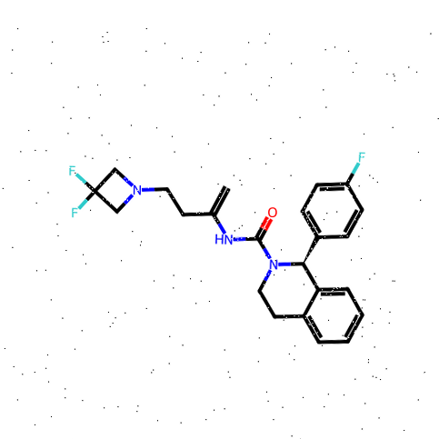 C=C(CCN1CC(F)(F)C1)NC(=O)N1CCc2ccccc2[C@@H]1c1ccc(F)cc1